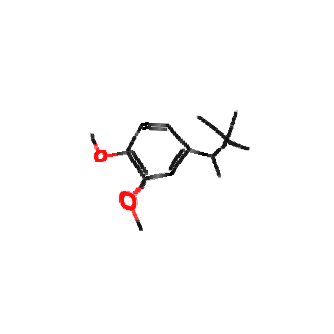 COc1ccc(C(C)C(C)(C)C)cc1OC